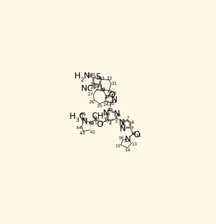 C[C@H](Oc1cc(-n2ccc(C(=O)N3CCCC3)n2)nc(-c2noc3c2CCCC[C@@]32CCCc3sc(N)c(C#N)c32)n1)[C@@H]1CCCN1C